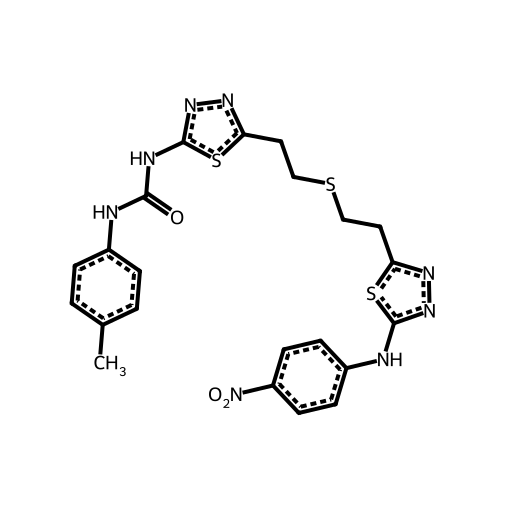 Cc1ccc(NC(=O)Nc2nnc(CCSCCc3nnc(Nc4ccc([N+](=O)[O-])cc4)s3)s2)cc1